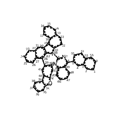 c1ccc2cc(-c3nc(-n4c5ccc6ccccc6c5c5cc6ccccc6c(-c6ccc7oc8ccccc8c7c6)c54)nc4ccccc34)ccc2c1